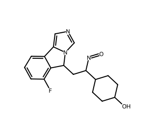 O=NC(CC1c2c(F)cccc2-c2cncn21)C1CCC(O)CC1